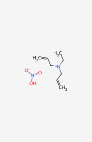 C=CCN(CC)CC=C.O=[N+]([O-])O